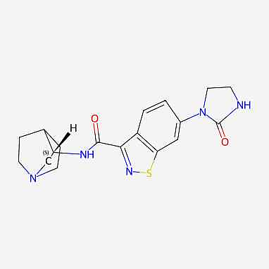 O=C(N[C@@H]1CN2CCC1CC2)c1nsc2cc(N3CCNC3=O)ccc12